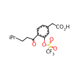 CC(C)CCC(=O)c1ccc(CC(=O)O)cc1OS(=O)(=O)C(F)(F)F